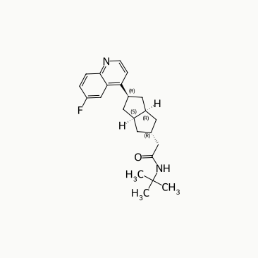 CC(C)(C)NC(=O)C[C@H]1C[C@@H]2C[C@H](c3ccnc4ccc(F)cc34)C[C@@H]2C1